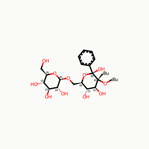 CCC(C)O[C@]1(C(C)CC)[C@@H](O)[C@H](O)[C@@H](CO[C@@H]2O[C@H](CO)[C@@H](O)[C@H](O)[C@H]2O)O[C@]1(O)c1ccccc1